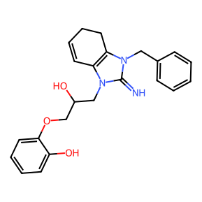 N=c1n(CC(O)COc2ccccc2O)c2c(n1Cc1ccccc1)CCC=C2